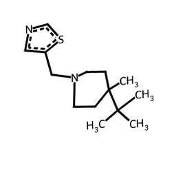 CC(C)(C)C1(C)CCN(Cc2cncs2)CC1